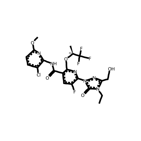 CCn1c(CO)nn(-c2nc(O[C@@H](C)C(F)(F)F)c(C(=O)Nc3nc(OC)ccc3Cl)cc2F)c1=O